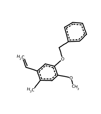 C=Cc1cc(OCc2ccccc2)c(OC)cc1C